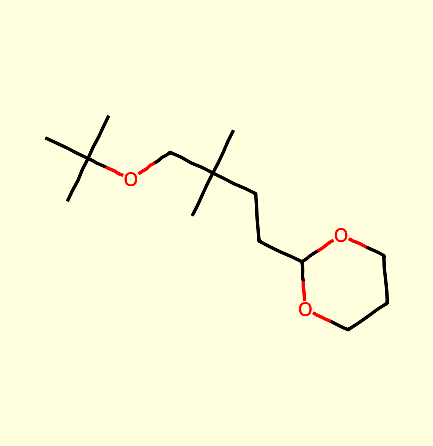 CC(C)(CCC1OCCCO1)COC(C)(C)C